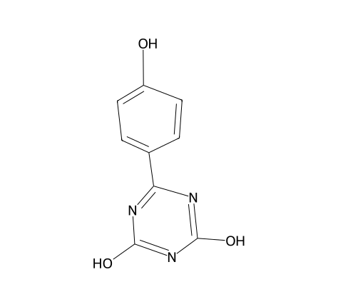 Oc1ccc(-c2nc(O)nc(O)n2)cc1